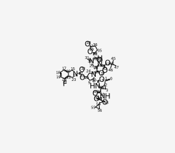 C=CC1C[C@]1(NC(=O)[C@@H]1CC(OC(=O)N2Cc3cccc(F)c3C2)CN1C(=O)[C@H](CN(C)C(=O)[C@H]1CCC(=O)O1)NC(=O)OC(C)(C)C)C(=O)NS(=O)(=O)C1CC1